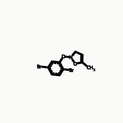 CC1=CCN(Oc2cc(Br)ccc2Br)O1